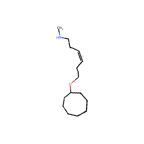 CNCC/C=C\CCOC1CCCCCCC1